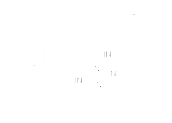 Fc1ccc(CNc2nc(Nc3cccc(C(F)(F)F)c3)nc(-c3ccccc3)n2)cc1